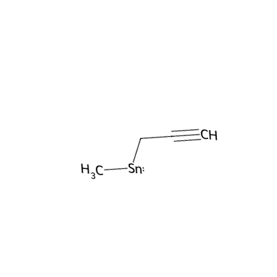 C#C[CH2][Sn][CH3]